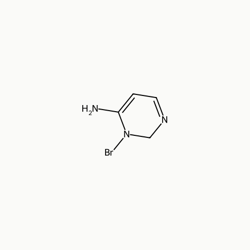 NC1=CC=NCN1Br